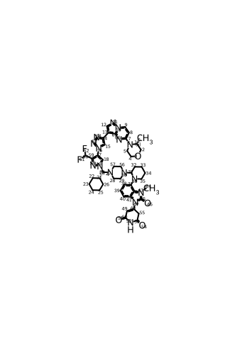 C[C@H]1COCCN1c1ccn2ncc(-c3cn(-c4cn([C@@H](C5CCCCC5)N5CCN(C6CCCCN6c6cccc7c6n(C)c(=O)n7C6=CC(=O)NC(=O)C6)CC5)nc4C(F)F)nn3)c2n1